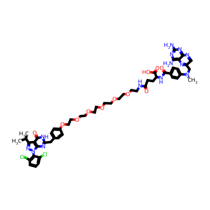 CC(C)c1nn(-c2c(Cl)cccc2Cl)c2nc(Cc3ccc(OCCOCCOCCOCCOCCOCCNC(=O)CCC(NC(=O)c4ccc(N(C)Cc5cnc6nc(N)nc(N)c6n5)cc4)C(=O)O)cc3)[nH]c(=O)c12